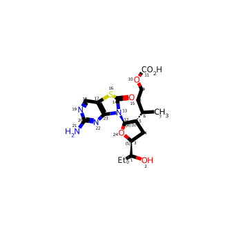 CCC(O)[C@@H]1C[C@@H](C(C)CCOC(=O)O)[C@H](n2c(=O)sc3cnc(N)nc32)O1